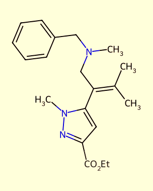 CCOC(=O)c1cc(C(CN(C)Cc2ccccc2)=C(C)C)n(C)n1